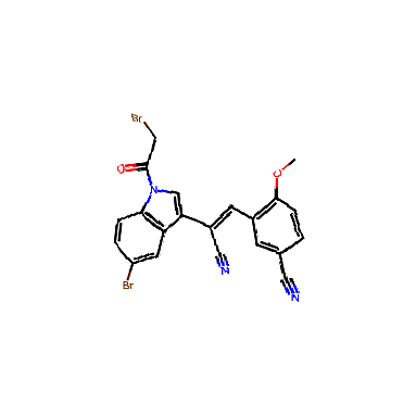 COc1ccc(C#N)cc1C=C(C#N)c1cn(C(=O)CBr)c2ccc(Br)cc12